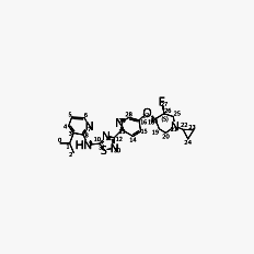 CC(C)c1cccnc1Nc1nc(-c2ccc(O[C@@H]3CCN(C4CC4)C[C@@H]3F)cn2)ns1